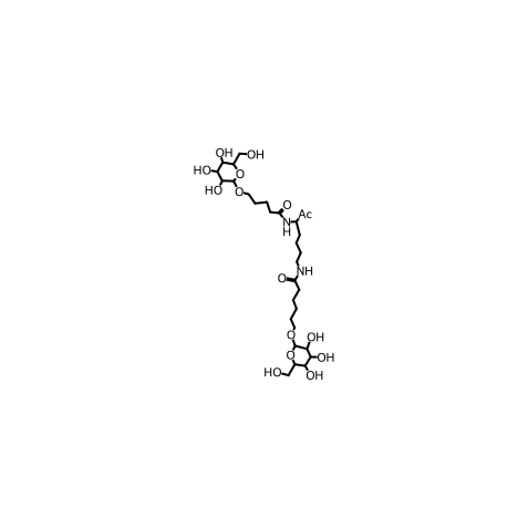 CC(=O)C(CCCCNC(=O)CCCCCOC1OC(CO)C(O)C(O)C1O)NC(=O)CCCCOC1OC(CO)C(O)C(O)C1O